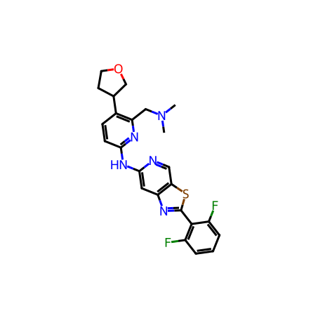 CN(C)Cc1nc(Nc2cc3nc(-c4c(F)cccc4F)sc3cn2)ccc1C1CCOC1